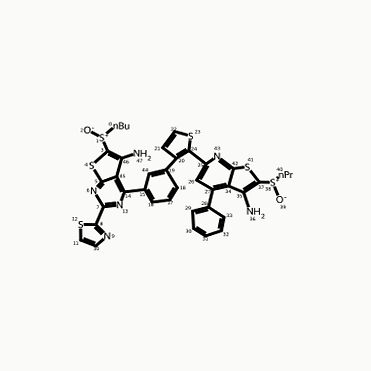 CCCC[S+]([O-])c1sc2nc(-c3nccs3)nc(-c3cccc(-c4ccsc4-c4cc(-c5ccccc5)c5c(N)c([S+]([O-])CCC)sc5n4)c3)c2c1N